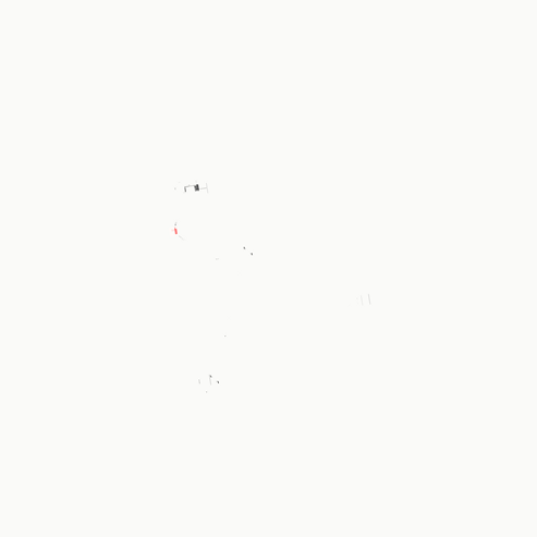 O=[N+]([O-])C12CC(CO)N(C(CO)C1)C(CO)C2